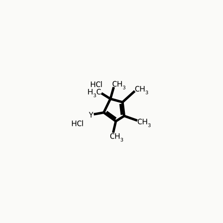 CC1=C(C)C(C)(C)[C]([Y])=C1C.Cl.Cl